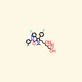 Cc1cccc(NC(=O)c2c(-c3ccc(F)cc3)c(-c3ccc(F)cc3)c(CC[C@@H](O)C[C@@H](O)CC(=O)O)n2C(C)C)c1